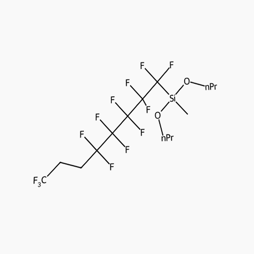 CCCO[Si](C)(OCCC)C(F)(F)C(F)(F)C(F)(F)C(F)(F)C(F)(F)CCC(F)(F)F